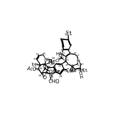 CCc1ccc2[nH]c3c(c2c1)CCN1C[C@H](C[C@@](O)(CC)C1)C[C@]3(C(=O)OC)c1cc2c(cc1OC)N(C=O)[C@@]13O[C@]1(C(=O)OC)[C@H](OC(C)=O)[C@]1(CC)C=CCN4CC[C@]23[C@@H]41